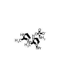 CCC[n+]1cc[nH]c1C.CCC[n+]1cc[nH]c1C.NP(=O)([O-])[O-]